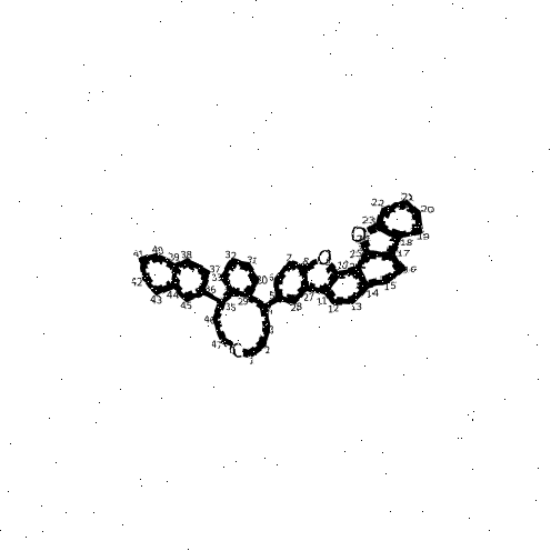 c1cccc(-c2ccc3oc4c(ccc5ccc6c7ccccc7oc6c54)c3c2)c2ccccc2c(-c2ccc3ccccc3c2)cc1